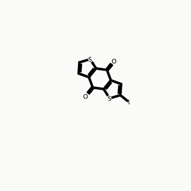 O=C1c2cc(I)sc2C(=O)c2ccsc21